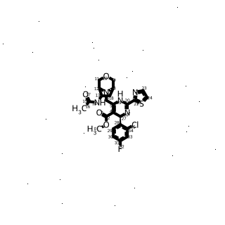 COC(=O)C1=C(CN2C3COCC2C(NC(C)=O)C3)NC(c2nccs2)=N[C@H]1c1ccc(F)cc1Cl